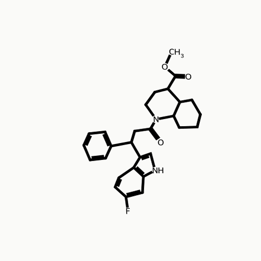 COC(=O)C1CCN(C(=O)CC(c2ccccc2)c2c[nH]c3cc(F)ccc23)C2CCCCC12